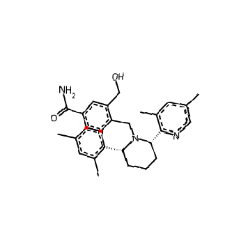 Cc1cnc([C@H]2CCC[C@@H](c3ncc(C)cc3C)N2Cc2ccc(C(N)=O)cc2CO)c(C)c1